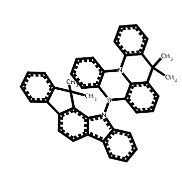 CC1(C)c2ccccc2N2c3ccccc3B(n3c4ccccc4c4ccc5c(c43)C(C)(C)c3ccccc3-5)c3cccc1c32